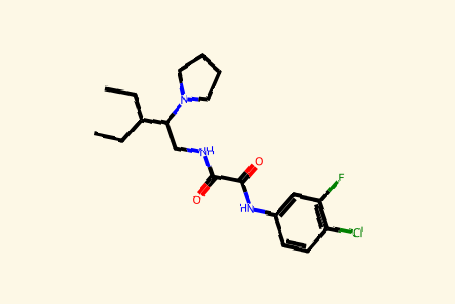 CCC(CC)C(CNC(=O)C(=O)Nc1ccc(Cl)c(F)c1)N1CCCC1